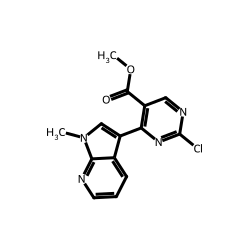 COC(=O)c1cnc(Cl)nc1-c1cn(C)c2ncccc12